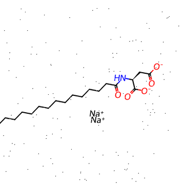 CCCCCCCCCCCCCCC(=O)N[C@@H](CC(=O)[O-])C(=O)[O-].[Na+].[Na+]